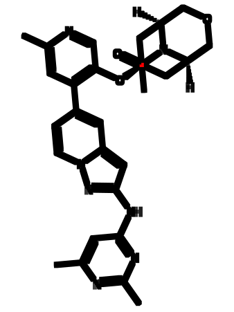 CC(=O)N1[C@@H]2COC[C@H]1C[C@@H](Oc1cnc(C)cc1-c1ccn3nc(Nc4cc(C)nc(C)n4)cc3c1)C2